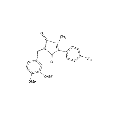 COc1ccc(CN2C(=O)C(C)=C(c3ccc(C(F)(F)F)cc3)C2=O)cc1OC